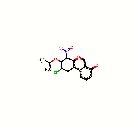 CC(C)OC1C(Cl)Cc2c3cccc(=O)c-3coc2C1[N+](=O)[O-]